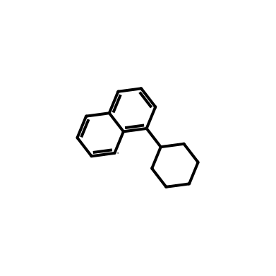 [c]1cccc2cccc(C3CCCCC3)c12